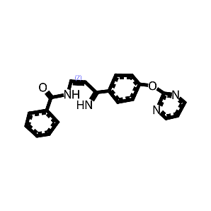 N=C(/C=C\NC(=O)c1ccccc1)c1ccc(Oc2ncccn2)cc1